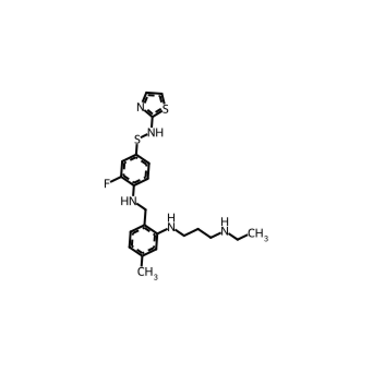 CCNCCCNc1cc(C)ccc1CNc1ccc(SNc2nccs2)cc1F